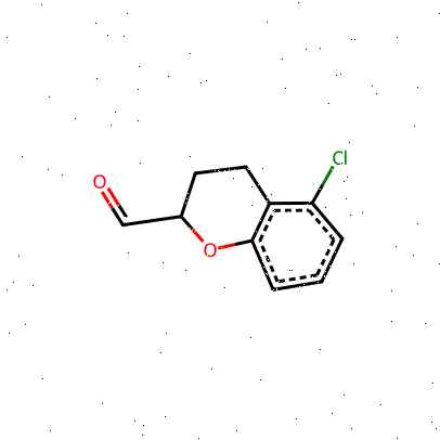 O=CC1CCc2c(Cl)cccc2O1